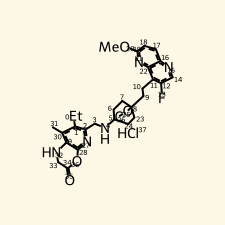 CCc1c(CNC23CCC(CCc4c(F)cnc5ccc(OC)nc45)(CC2)OC3)nc2c(c1C)NCC(=O)O2.Cl